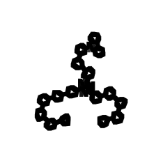 C1=CC(c2cccc(-c3cccc(-c4cccc(-c5ccccc5)c4)c3)c2)CC=C1c1ccc(-c2nc(-c3cccc(-c4cccc(-c5cccc(-c6cccc(-c7ccccc7)c6)c5)c4)c3)nc(-c3cccc(-c4cccc(-c5cccc(-n6c7ccccc7c7ccccc76)c5)c4)c3)n2)cc1